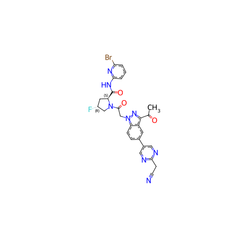 CC(=O)c1nn(CC(=O)N2C[C@H](F)C[C@H]2C(=O)Nc2cccc(Br)n2)c2ccc(-c3cnc(CC#N)nc3)cc12